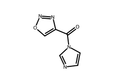 O=C(c1conn1)n1ccnc1